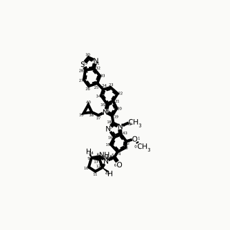 COc1cc(C(=O)N2C[C@H]3CC[C@@H]2[C@@H]3N)cc2nc(-c3cc4ccc(-c5ccc6scnc6c5)cc4n3CC3CC3)n(C)c12